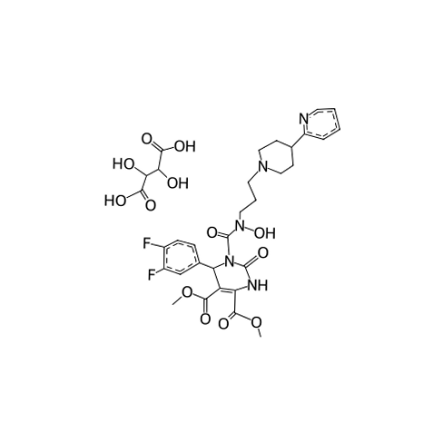 COC(=O)C1=C(C(=O)OC)C(c2ccc(F)c(F)c2)N(C(=O)N(O)CCCN2CCC(c3ccccn3)CC2)C(=O)N1.O=C(O)C(O)C(O)C(=O)O